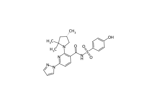 C[C@@H]1CN(c2nc(-n3cccn3)ccc2C(=O)NS(=O)(=O)c2ccc(O)cc2)C(C)(C)C1